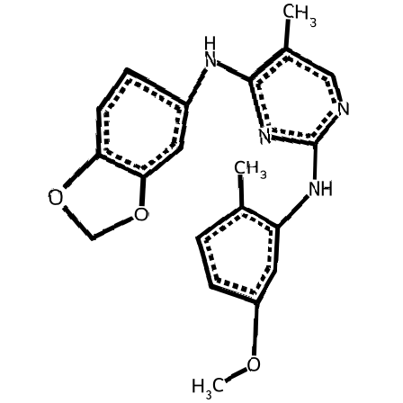 COc1ccc(C)c(Nc2ncc(C)c(Nc3ccc4c(c3)OCO4)n2)c1